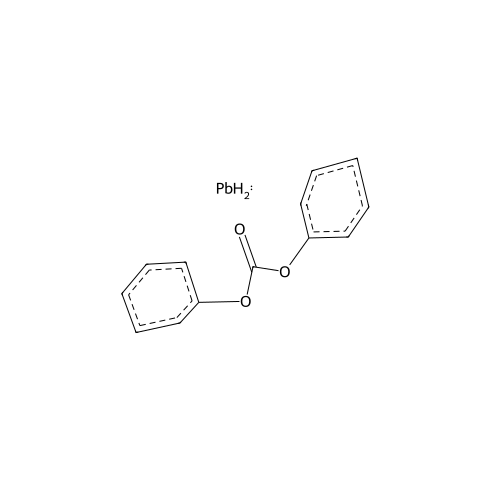 O=C(Oc1ccccc1)Oc1ccccc1.[PbH2]